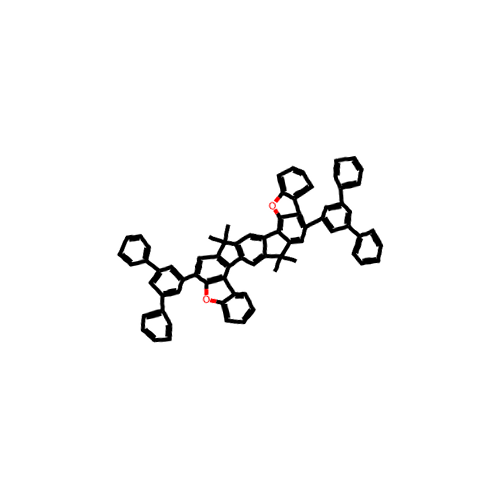 CC1(C)c2cc3c(cc2-c2c1cc(-c1cc(-c4ccccc4)cc(-c4ccccc4)c1)c1c2oc2ccccc21)C(C)(C)c1cc(-c2cc(-c4ccccc4)cc(-c4ccccc4)c2)c2oc4ccccc4c2c1-3